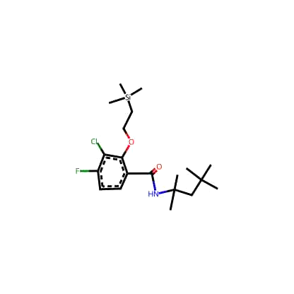 CC(C)(C)CC(C)(C)NC(=O)c1ccc(F)c(Cl)c1OCC[Si](C)(C)C